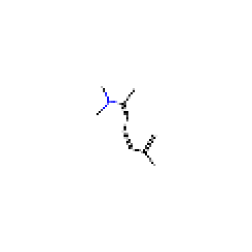 C=C(C)/C=C\C=C(\C)N(C)C